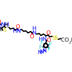 [N-]=[N+]=Nc1c(F)c(F)c(C(=O)NC(CCCCNC(=O)CCCCCNC(=O)CCCC[C@@H]2SC[C@@H]3NC(=O)N[C@@H]32)C(=O)CCSSCCC(=O)O)c(F)c1F